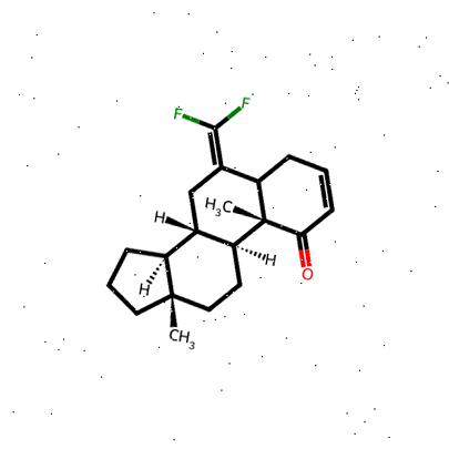 C[C@@]12CCC[C@H]1[C@@H]1CC(=C(F)F)C3CC=CC(=O)[C@]3(C)[C@H]1CC2